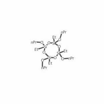 CCCO[Si]1(CC)O[Si](CC)(OCCC)O[Si](CC)(OCCC)O[Si](CC)(OCCC)O1